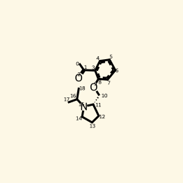 CC(=O)c1ccccc1OC[C@@H]1CCCN1C(C)C